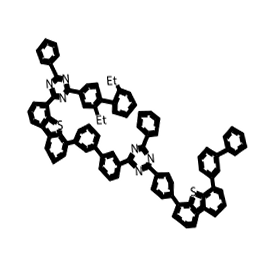 CCc1ccccc1-c1ccc(-c2nc(-c3ccccc3)nc(-c3cccc4c3sc3c(-c5cccc(-c6cccc(-c7nc(-c8ccccc8)nc(-c8ccc(-c9cccc%10c9sc9c(-c%11cccc(-c%12ccccc%12)c%11)cccc9%10)cc8)n7)c6)c5)cccc34)n2)cc1CC